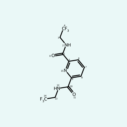 O=C(NCC(F)(F)F)c1cccc(C(=O)NCC(F)(F)F)n1